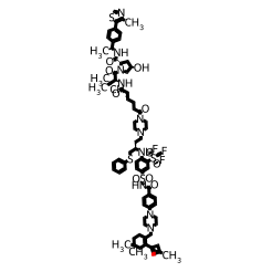 Cc1ncsc1-c1ccc([C@H](C)NC(=O)[C@@H]2C[C@@H](O)CN2C(=O)[C@@H](NC(=O)CCCCC(=O)N2CCN(CC[C@H](CSc3ccccc3)Nc3ccc(S(=O)(=O)NC(=O)c4ccc(N5CCN(CC6=C(C78CC(C)(C7)C8)CC(C)(C)CC6)CC5)cc4)cc3S(=O)(=O)C(F)(F)F)CC2)C(C)(C)C)cc1